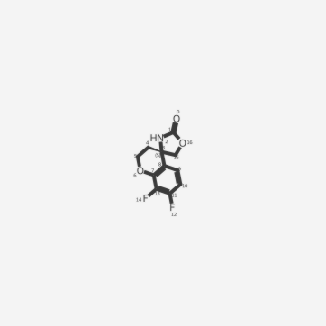 O=C1N[C@]2(CCOc3c2ccc(F)c3F)CO1